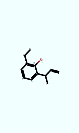 [CH2]C(C=C)c1cccc(CC)c1Br